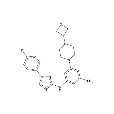 Cc1cc(Nc2ncn(-c3ccc(F)cc3)n2)cc(N2CCN(C3COC3)CC2)c1